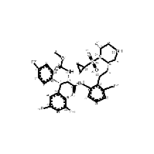 COC(=O)N[C@H](C(=O)Nc1cccc(F)c1CC[C@H]1CNC[C@@H](C)N1S(=O)(=O)C1CC1)[C@@H](c1ccc(F)cc1)c1cc(F)cc(F)c1